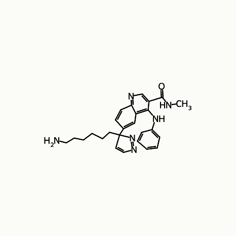 CNC(=O)c1cnc2ccc(C3(CCCCCCN)C=CN=N3)cc2c1Nc1ccccc1